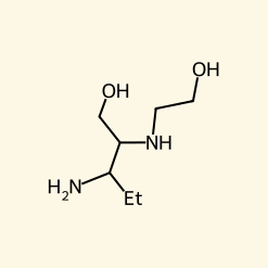 CCC(N)C(CO)NCCO